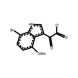 COc1ccc(Br)c2[nH]cc(C(=O)C(=O)Cl)c12